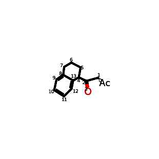 CC(=O)CC(=O)C1CCCc2ccccc21